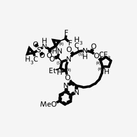 CC[C@@H]1[C@@H]2CN(C(=O)[C@H](C)NC(=O)O[C@]3(C(F)(F)F)CCC[C@H]3CCCCCc3nc4ccc(OC)cc4nc3O2)[C@@H]1C(=O)N[C@]1(C(=O)NS(=O)(=O)C2(C)CC2)C[C@H]1C(F)F